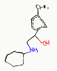 Cc1ccc(C(O)CNC2CCCCC2)cc1